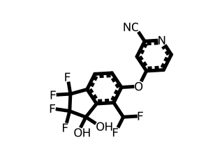 N#Cc1cc(Oc2ccc3c(c2C(F)F)C(O)(O)C(F)(F)C3(F)F)ccn1